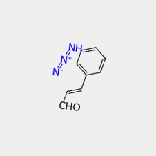 O=CC=Cc1ccccc1.[N-]=[N+]=N